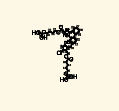 CCCCc1nc(Cl)c(COC(=O)CCCCON(O)O)n1Cc1ccc(-c2ccccc2-c2nnn(C(=O)OCCCCON(O)O)n2)cc1